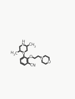 CC1CN(c2cccc(C#N)c2OCCN2CCOCC2)C(C)CN1